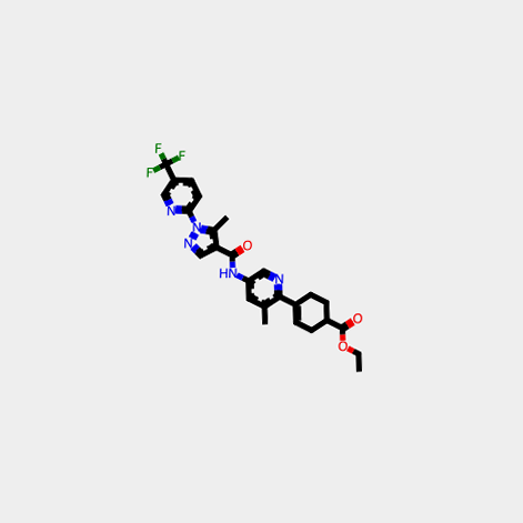 CCOC(=O)C1CC=C(c2ncc(NC(=O)c3cnn(-c4ccc(C(F)(F)F)cn4)c3C)cc2C)CC1